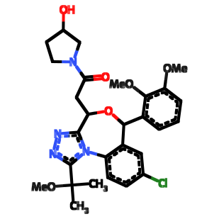 COc1cccc(C2OC(CC(=O)N3CCC(O)C3)c3nnc(C(C)(C)OC)n3-c3ccc(Cl)cc32)c1OC